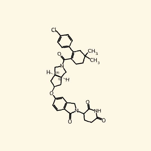 CC1(C)CCC(C(=O)N2C[C@H]3CC(Oc4ccc5c(c4)CN(C4CCC(=O)NC4=O)C5=O)C[C@H]3C2)=C(c2ccc(Cl)cc2)C1